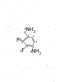 NCc1ccc(N)c(F)c1F